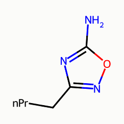 CCCCc1noc(N)n1